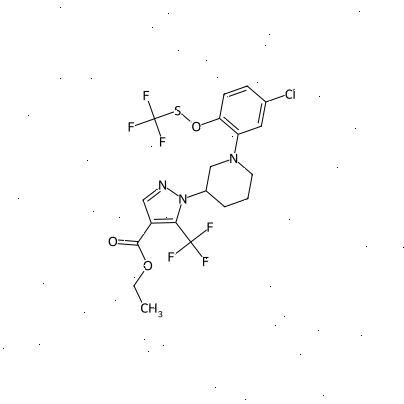 CCOC(=O)c1cnn(C2CCCN(c3cc(Cl)ccc3OSC(F)(F)F)C2)c1C(F)(F)F